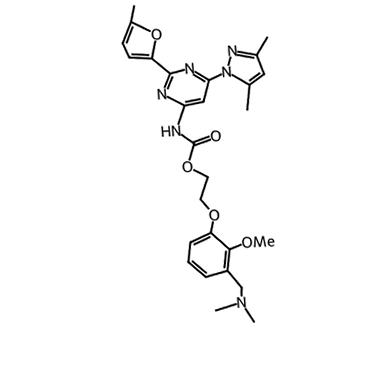 COc1c(CN(C)C)cccc1OCCOC(=O)Nc1cc(-n2nc(C)cc2C)nc(-c2ccc(C)o2)n1